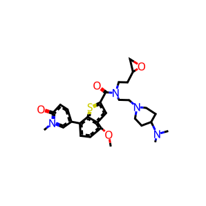 COc1ccc(-c2ccc(=O)n(C)c2)c2sc(C(=O)N(CCC3CO3)CCN3CCC(N(C)C)CC3)cc12